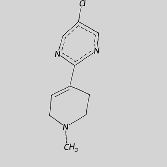 CN1CC=C(c2ncc(Cl)cn2)CC1